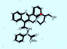 COC(=O)N(NC(=O)c1c(CN2CCC(CO)CC2)c(-c2ccccc2)nc2ccccc12)c1ccccc1